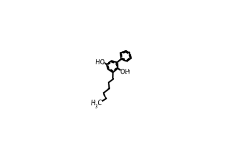 CCCCCCc1cc(O)cc(-c2ccccc2)c1O